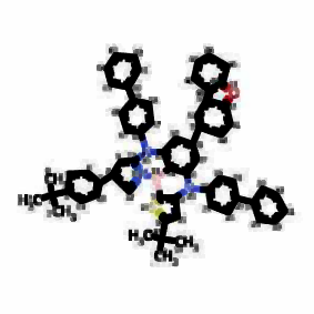 CC(C)(C)c1ccc(-c2cc3n(c2)B2c4sc(C(C)(C)C)cc4N(c4ccc(-c5ccccc5)cc4)c4cc(-c5ccc6oc7ccccc7c6c5)cc(c42)N3c2ccc(-c3ccccc3)cc2)cc1